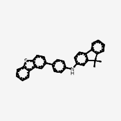 CC1(C)c2ccccc2-c2ccc(Nc3ccc(-c4ccc5sc6ccccc6c5c4)cc3)cc21